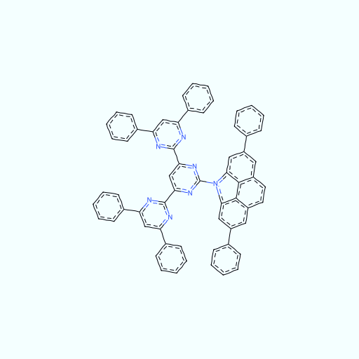 c1ccc(-c2cc3ccc4cc(-c5ccccc5)cc5c4c3c(c2)n5-c2nc(-c3nc(-c4ccccc4)cc(-c4ccccc4)n3)cc(-c3nc(-c4ccccc4)cc(-c4ccccc4)n3)n2)cc1